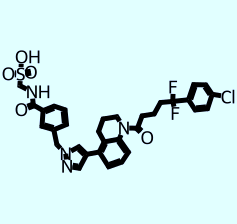 O=C(NCS(=O)(=O)O)c1cccc(Cn2cc(-c3cccc4c3CCCN4C(=O)CCCC(F)(F)c3ccc(Cl)cc3)cn2)c1